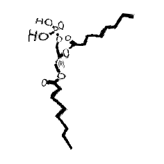 CCCCCCCC(=O)OC[C@H](COP(=O)(O)O)OC(=O)CCCCCCC